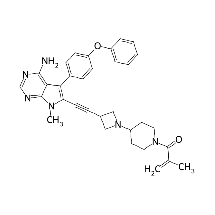 C=C(C)C(=O)N1CCC(N2CC(C#Cc3c(-c4ccc(Oc5ccccc5)cc4)c4c(N)ncnc4n3C)C2)CC1